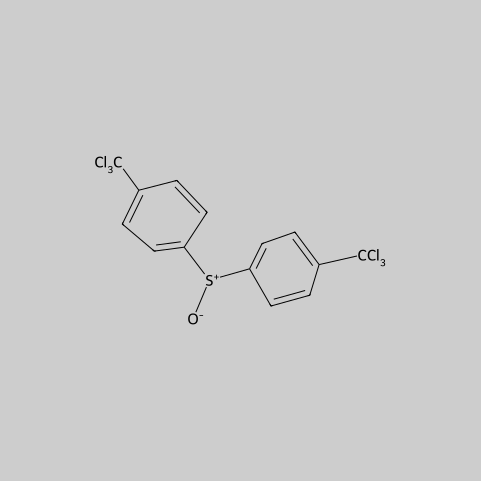 [O-][S+](c1ccc(C(Cl)(Cl)Cl)cc1)c1ccc(C(Cl)(Cl)Cl)cc1